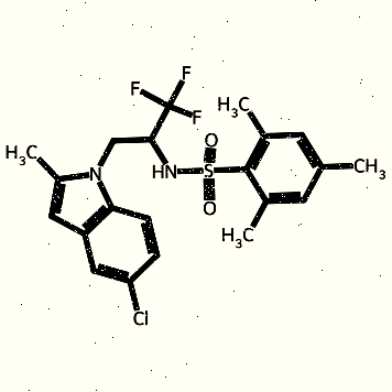 Cc1cc(C)c(S(=O)(=O)NC(Cn2c(C)cc3cc(Cl)ccc32)C(F)(F)F)c(C)c1